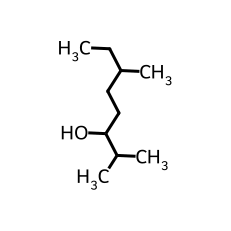 CCC(C)CCC(O)C(C)C